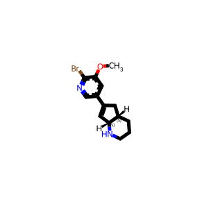 COc1cc(C2=C[C@H]3NCCC[C@H]3C2)cnc1Br